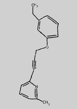 CCc1cccc(OCC#Cc2cccc(C)n2)c1